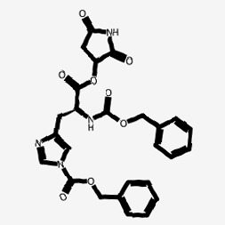 O=C1CC(OC(=O)[C@H](Cc2cn(C(=O)OCc3ccccc3)cn2)NC(=O)OCc2ccccc2)C(=O)N1